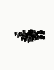 CCCC[PH](CCCC)(CCCC)OS(=O)(=O)C(F)(F)C(F)(F)C(F)(F)C(F)(F)F